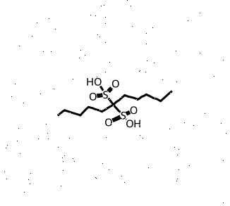 CCCCCC(CCCCC)(S(=O)(=O)O)S(=O)(=O)O